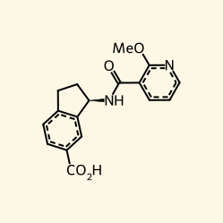 COc1ncccc1C(=O)N[C@@H]1CCc2ccc(C(=O)O)cc21